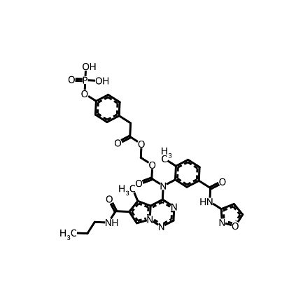 CCCNC(=O)c1cn2ncnc(N(C(=O)OCOC(=O)Cc3ccc(OP(=O)(O)O)cc3)c3cc(C(=O)Nc4ccon4)ccc3C)c2c1C